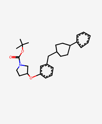 CC(C)(C)OC(=O)N1CCC(Oc2cccc(CC3CCC(c4ccccc4)CC3)c2)C1